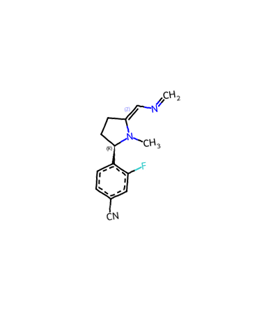 C=N/C=C1/CC[C@H](c2ccc(C#N)cc2F)N1C